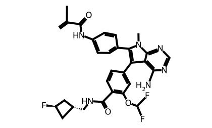 C=C(C)C(=O)Nc1ccc(-c2c(-c3ccc(C(=O)NC[C@H]4C[C@H](F)C4)c(OC(F)F)c3)c3c(N)ncnc3n2C)cc1